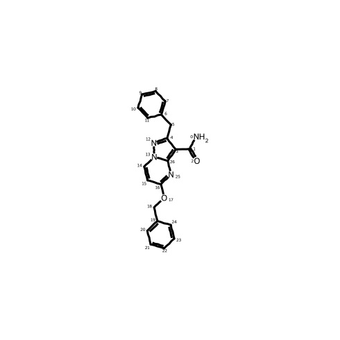 NC(=O)c1c(Cc2ccccc2)nn2ccc(OCc3ccccc3)nc12